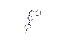 O=C(O)Cc1nc(-c2ccc(Cl)cc2)oc1-c1cccnc1